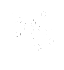 COCCn1ccc(C(=O)NCCN(CCNC(=O)c2ccn(CCOC)c(=O)c2OCc2ccccc2)C(=O)C(CCCCNC(=O)O)NC(=O)c2ccn(CCOC)c(=O)c2OCc2ccccc2)c(OCc2ccccc2)c1=O